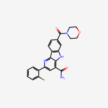 NC(=O)c1cc(-c2ccccc2F)nc2c1[nH]c1cc(C(=O)N3CCOCC3)ccc12